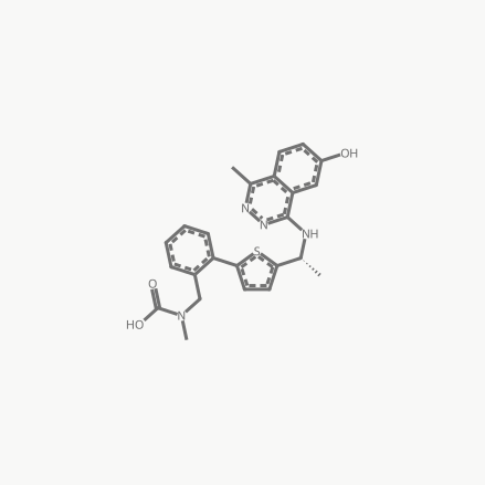 Cc1nnc(N[C@H](C)c2ccc(-c3ccccc3CN(C)C(=O)O)s2)c2cc(O)ccc12